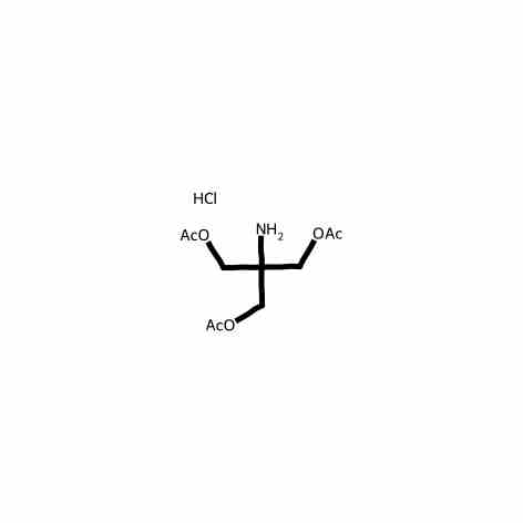 CC(=O)OCC(N)(COC(C)=O)COC(C)=O.Cl